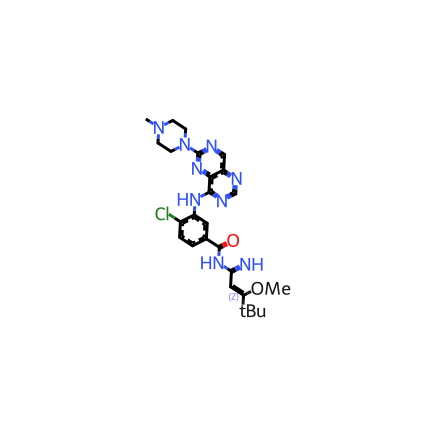 CO/C(=C\C(=N)NC(=O)c1ccc(Cl)c(Nc2ncnc3cnc(N4CCN(C)CC4)nc23)c1)C(C)(C)C